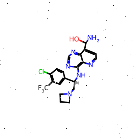 NC(O)c1ccnc2c(N[C@@H](CN3CCC3)c3ccc(Cl)c(C(F)(F)F)c3)ncnc12